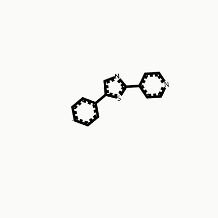 [c]1ccc(-c2cnc(-c3ccncc3)s2)cc1